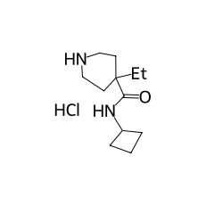 CCC1(C(=O)NC2CCC2)CCNCC1.Cl